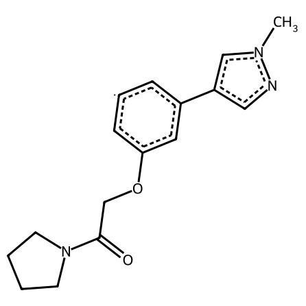 Cn1cc(-c2c[c]cc(OCC(=O)N3CCCC3)c2)cn1